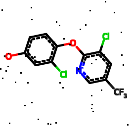 [O]c1ccc(Oc2ncc(C(F)(F)F)cc2Cl)c(Cl)c1